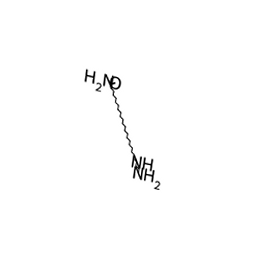 NCCNCCCCCCCCCCCCCCCCCCCCCC(N)=O